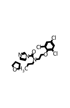 C1CCOC1.CCCN(CCOc1c(Cl)cc(Cl)cc1Cl)C(=O)n1ccnc1